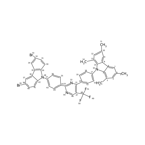 Cc1cc(C)c2c(c1)c1cc(C)cc(C)c1n2-c1ccc(-c2nc(-c3ccc(-n4c5ccc(Br)cc5c5cc(Br)ccc54)cc3)ncc2C(F)(F)F)cc1